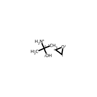 C1CO1.CC(C)(N)O